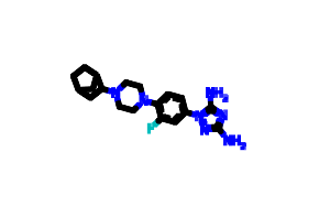 Nc1nc(N)n(-c2ccc(N3CCN(C4CC5CCC4C5)CC3)c(F)c2)n1